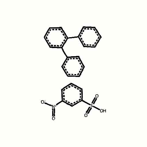 O=[N+]([O-])c1cccc(S(=O)(=O)O)c1.c1ccc(-c2ccccc2-c2ccccc2)cc1